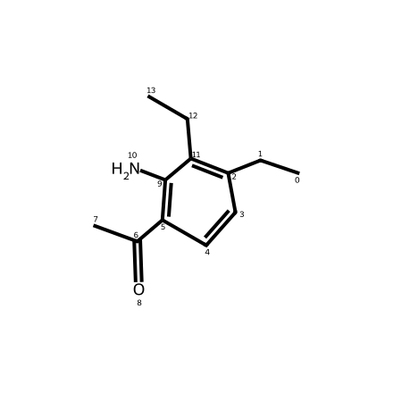 CCc1ccc(C(C)=O)c(N)c1CC